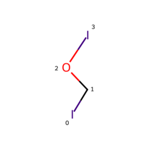 ICOI